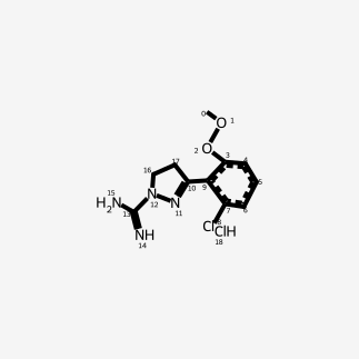 COOc1cccc(Cl)c1C1=NN(C(=N)N)CC1.Cl